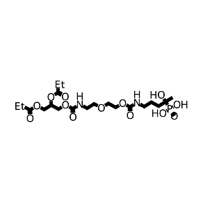 CCC(=O)OCC(COC(=O)NCCOCCOC(=O)NCCCC(C)(O)P(=O)(O)O)OC(=O)CC